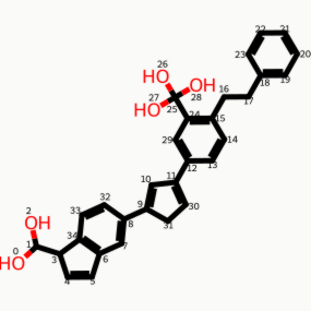 OC(O)C1C=Cc2cc(C3=CC(c4ccc(CCc5ccccc5)c(C(O)(O)O)c4)=CC3)ccc21